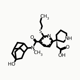 CCCSc1nc([C@]2(CC(=O)O)CCCNC2)ccc1C(=O)N(C)C1C2CC3CC1CC(O)(C3)C2